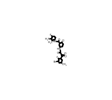 Cc1cc(Br)c(F)c(C2C(C(=O)CNc3ccc(Cl)c(C(=O)Nc4ccc(F)c(N)c4C)c3)C2(Cl)Cl)c1